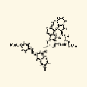 COCCNCc1nn2c(c1-c1c(Cl)ccc3c1c(C)c(C(=O)OC)n3CCCOc1cc(SCc3ccc(OC)cc3)cc3cc(F)ccc13)COCC2